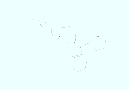 CC1(COS(C)(=O)=O)CCCN(C(C2=CC=CCC2)C2=COC=CO2)C1